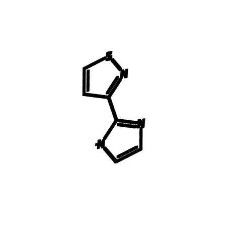 C1=CN=C(c2ccsn2)[N]1